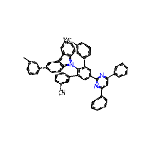 Cc1cccc(-c2ccc3c(c2)c2ccccc2n3-c2c(-c3cccc(C#N)c3)cc(-c3nc(-c4ccccc4)cc(-c4ccccc4)n3)cc2-c2cccc(C#N)c2)c1